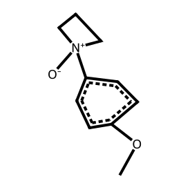 COc1ccc([N+]2([O-])CCC2)cc1